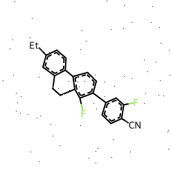 CCc1ccc2c(c1)CCc1c-2ccc(-c2ccc(C#N)c(F)c2)c1F